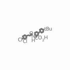 CC(C)(C)c1ccc(-c2ccc(NC(=O)CCc3ccc(Cl)c(Cl)c3)c(C(=O)O)c2)cc1